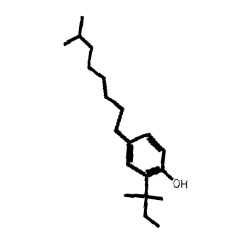 CCC(C)(C)c1cc(CCCCCCC(C)C)ccc1O